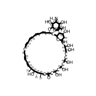 CC1OC(O[C@H]2/C=C/C=C/C=C/C=C/CC/C=C/C=C/[C@H](C)[C@@H](O)[C@@H](C)[C@H](C)OC(=O)C[C@H](O)C[C@H](O)C[C@H](O)CC[C@@H](O)[C@H](O)C[C@]3(O)C[C@H](O)[C@@H](C(=O)O)C(C2)O3)C(O)C(N)C1O